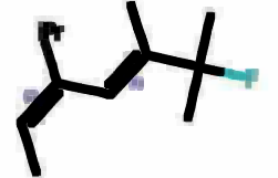 C/C=C(\C=C(/C)C(C)(C)F)C(C)C